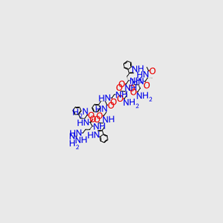 CC(=O)N[C@H](C)C(=O)N[C@@H](CC(N)=O)C(=O)N[C@@H](Cc1c[nH]c2ccccc12)C(=O)N[C@@H](CC(N)=O)C(=O)NCC(=O)N[C@@H](Cc1ccccc1)C(=O)NCC(=O)N[C@H](Cc1c[nH]c2ccccc12)C(=O)N[C@@H](CCCNC(=N)N)C(=O)N[C@@H](Cc1ccccc1)C(N)=O